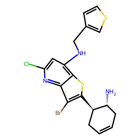 N[C@@H]1CC=CC[C@H]1c1sc2c(NCc3ccsc3)cc(Cl)nc2c1Br